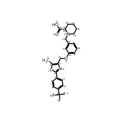 Cc1oc(-c2ccc(C(F)(F)F)cc2)nc1COc1cccc(CN2CCCC[C@@H]2C(=O)O)c1